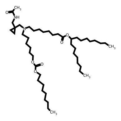 CCCCCCCCCOC(=O)OCCCCCCN(CCCCCCCC(=O)OC(CCCCCCCC)CCCCCCCC)CC1(CNC(C)=O)CC1